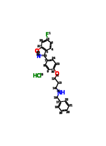 Cl.Fc1ccc2c(-c3ccc(OCCCNCc4ccccc4)cc3)noc2c1